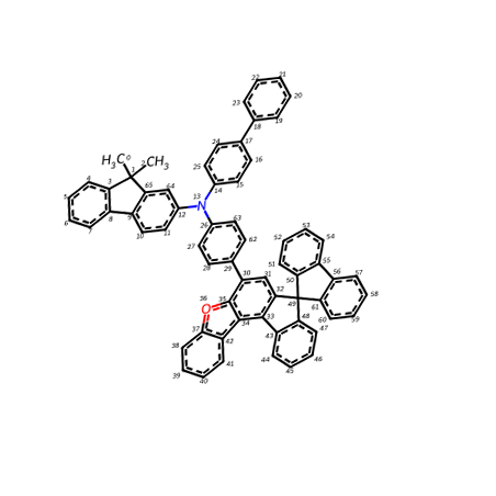 CC1(C)c2ccccc2-c2ccc(N(c3ccc(-c4ccccc4)cc3)c3ccc(-c4cc5c(c6c4oc4ccccc46)-c4ccccc4C54c5ccccc5-c5ccccc54)cc3)cc21